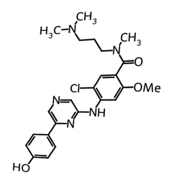 COc1cc(Nc2cncc(-c3ccc(O)cc3)n2)c(Cl)cc1C(=O)N(C)CCCN(C)C